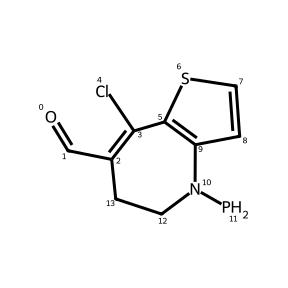 O=CC1=C(Cl)c2sccc2N(P)CC1